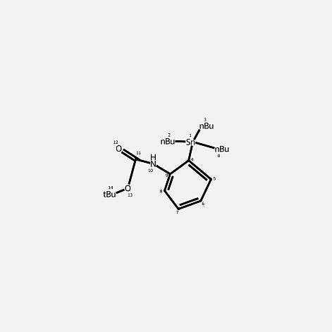 CCC[CH2][Sn]([CH2]CCC)([CH2]CCC)[c]1ccccc1NC(=O)OC(C)(C)C